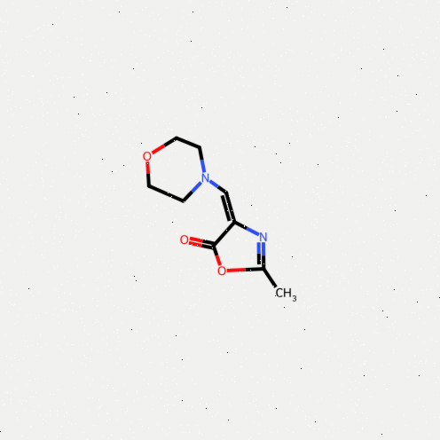 CC1=NC(=CN2CCOCC2)C(=O)O1